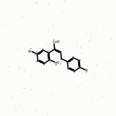 O=CC(=CCc1ccc(Br)cc1)c1cc(Br)ccc1[N+](=O)[O-]